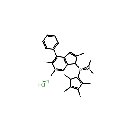 CC1=Cc2c(cc(C)c(C)c2-c2ccccc2)[CH]1[Zr]([C]1=C(C)C(C)=C(C)C1C)=[Si](C)C.Cl.Cl